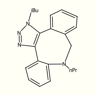 CCCN1Cc2ccccc2-c2c(nnn2C(C)CC)-c2ccccc21